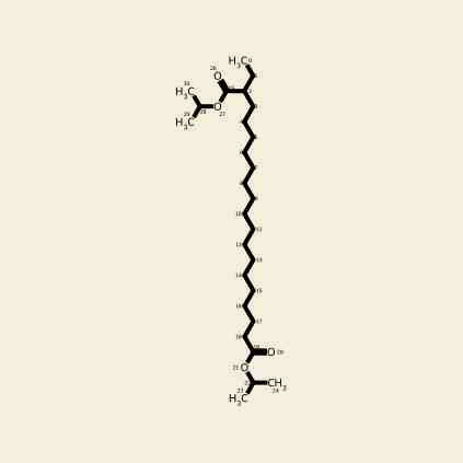 CCC(CCCCCCCCCCCCCCCCC(=O)OC(C)C)C(=O)OC(C)C